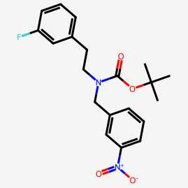 CC(C)(C)OC(=O)N(CCc1cccc(F)c1)Cc1cccc([N+](=O)[O-])c1